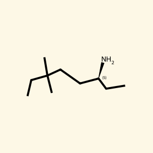 CC[C@H](N)CCC(C)(C)CC